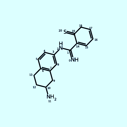 N=C(Nc1ccc2c(c1)CC(N)CC2)C1=CC=CCC1=S